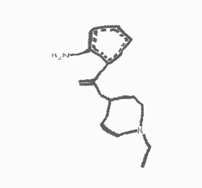 C=C(c1ccccc1N)C1CCN(CC)CC1